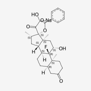 C[C@H]1C[C@H]2[C@@H]3CC[C@@H]4CC(=O)CC[C@]4(C)[C@@]3(F)[C@@H](O)C[C@]2(C)[C@]1(OC(=O)c1ccccc1)C(=O)[CH](O)[Na]